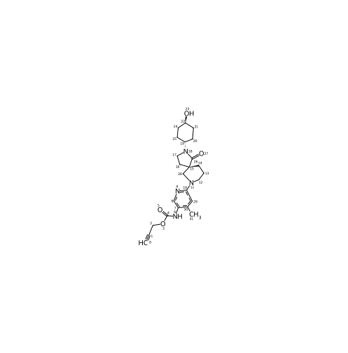 C#CCOC(=O)Nc1cnc(N2CCC[C@]3(CCN([C@H]4CC[C@H](O)CC4)C3=O)C2)cc1C